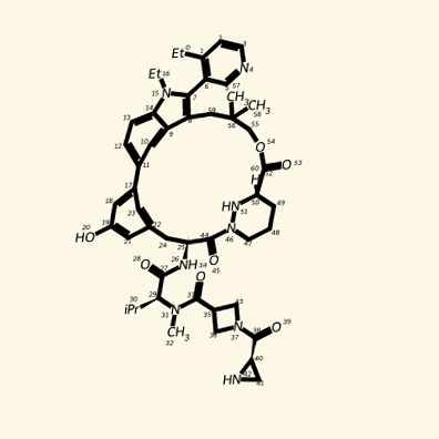 CCc1ccncc1-c1c2c3cc(ccc3n1CC)-c1cc(O)cc(c1)C[C@H](NC(=O)[C@H](C(C)C)N(C)C(=O)C1CN(C(=O)[C@H]3CN3)C1)C(=O)N1CCC[C@H](N1)C(=O)OCC(C)(C)C2